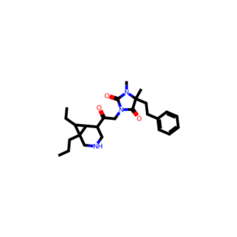 CCCC12CNCC(C(=O)CN3C(=O)N(C)C(C)(CCc4ccccc4)C3=O)C1C2CC